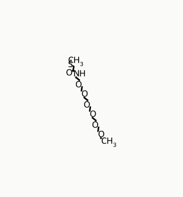 CCOCCOCCOCCOCCOCCOCCNC(=O)CSC